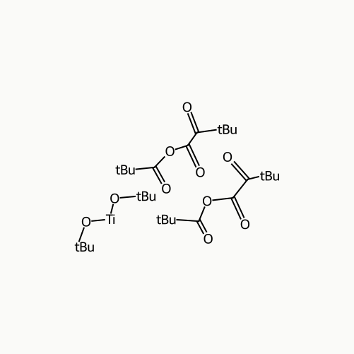 CC(C)(C)C(=O)OC(=O)C(=O)C(C)(C)C.CC(C)(C)C(=O)OC(=O)C(=O)C(C)(C)C.CC(C)(C)[O][Ti][O]C(C)(C)C